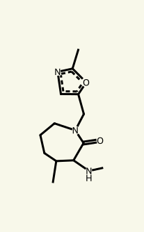 CNC1C(=O)N(Cc2cnc(C)o2)CCCC1C